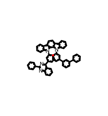 c1ccc(-c2cccc(-c3cccc(-n4c5ccccc5c5ccc6c7ccccc7n(-c7cccc(-c8nc(-c9ccccc9)nc9ccccc89)c7)c6c54)c3)c2)cc1